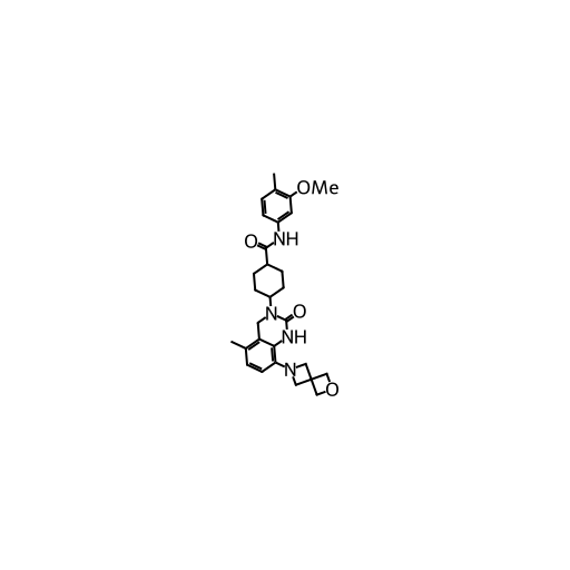 COc1cc(NC(=O)C2CCC(N3Cc4c(C)ccc(N5CC6(COC6)C5)c4NC3=O)CC2)ccc1C